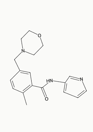 Cc1ccc(CN2CCOCC2)cc1C(=O)Nc1cccnc1